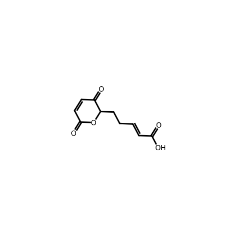 O=C(O)/C=C/CCC1OC(=O)C=CC1=O